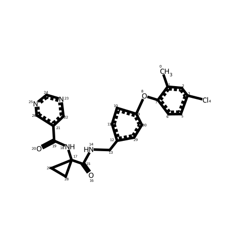 Cc1cc(Cl)ccc1Oc1ccc(CNC(=O)C2(NC(=O)c3cncnc3)CC2)cc1